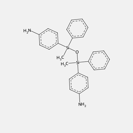 C[Si](O[Si](C)(c1ccccc1)c1ccc(N)cc1)(c1ccccc1)c1ccc(N)cc1